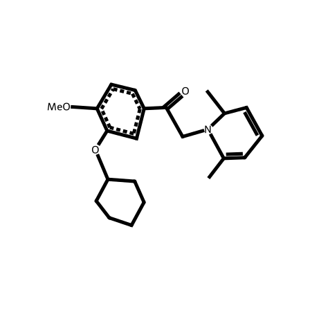 COc1ccc(C(=O)CN2C(C)=CC=CC2C)cc1OC1CCCCC1